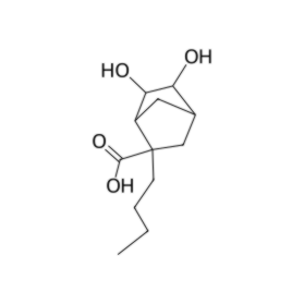 CCCCC1(C(=O)O)CC2CC1C(O)C2O